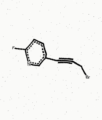 Fc1ccc(C#CCBr)cn1